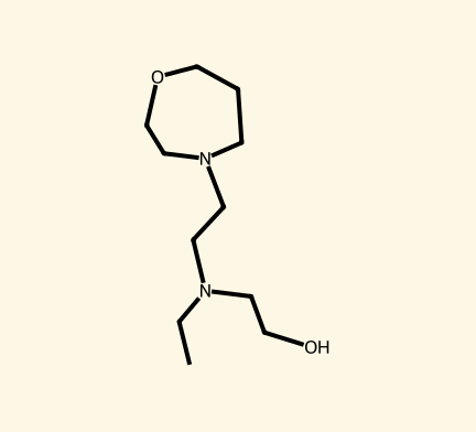 CCN(CCO)CCN1CCCOCC1